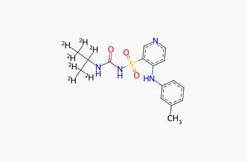 [2H]C([2H])([2H])C([2H])(NC(=O)NS(=O)(=O)c1cnccc1Nc1cccc(C)c1)C([2H])([2H])[2H]